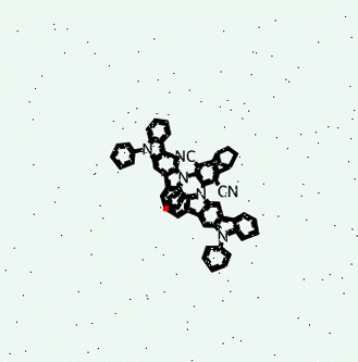 N#Cc1c2c(c(C#N)c(-n3c4ccccc4c4cc5c(cc43)c3ccccc3n5-c3ccccc3)c1-n1c3ccccc3c3cc4c(cc31)c1ccccc1n4-c1ccccc1)C1CCC2C1